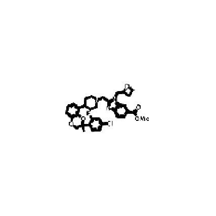 COC(=O)c1ccc2nc(CN3CCC(c4cccc5c4OC(C)(c4ccc(Cl)cc4F)CO5)CC3)n(CC3CCO3)c2c1